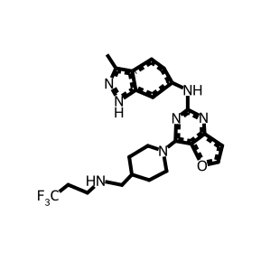 Cc1n[nH]c2cc(Nc3nc(N4CCC(CNCCC(F)(F)F)CC4)c4occc4n3)ccc12